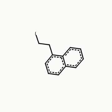 ICCc1cccc2ccccc12